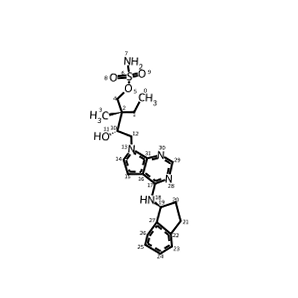 CC[C@@](C)(COS(N)(=O)=O)[C@@H](O)Cn1ccc2c(N[C@H]3CCc4ccccc43)ncnc21